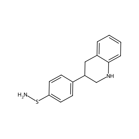 NSc1ccc(C2CNc3ccccc3C2)cc1